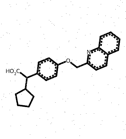 O=C(O)C(c1ccc(OCc2ccc3ccccc3n2)cc1)C1CCCC1